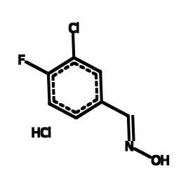 Cl.ON=Cc1ccc(F)c(Cl)c1